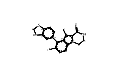 Cc1c2n(c3ccc(F)c(-c4ccc5c(c4)OCO5)c13)CCNC2=O